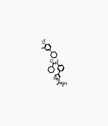 CNC(C)n1cc(-c2cccc(N(C[C@H]3CC[C@H](c4ccc(OC)c(C)c4)CC3)C(=O)C3CCCCC3)c2)cn1